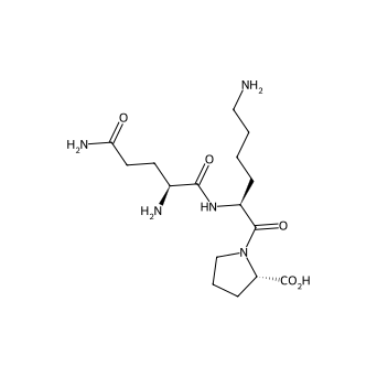 NCCCC[C@H](NC(=O)[C@@H](N)CCC(N)=O)C(=O)N1CCC[C@H]1C(=O)O